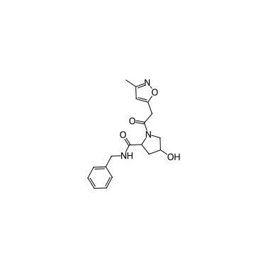 Cc1cc(CC(=O)N2CC(O)CC2C(=O)NCc2ccccc2)on1